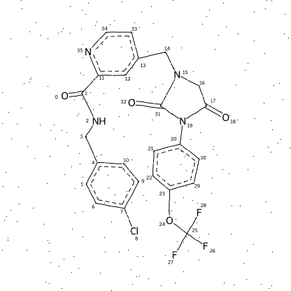 O=C(NCc1ccc(Cl)cc1)c1cc(CN2CC(=O)N(c3ccc(OC(F)(F)F)cc3)C2=O)ccn1